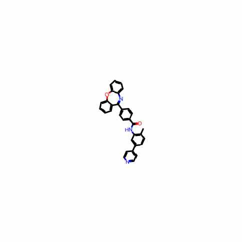 Cc1ccc(-c2ccncc2)cc1NC(=O)c1ccc(C2=Nc3ccccc3Oc3ccccc32)cc1